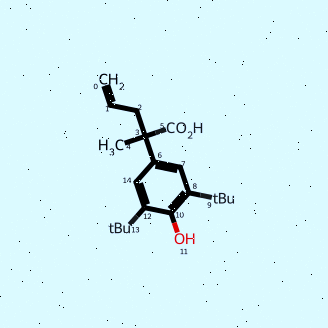 C=CCC(C)(C(=O)O)c1cc(C(C)(C)C)c(O)c(C(C)(C)C)c1